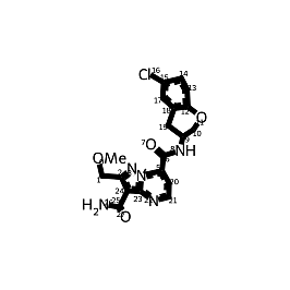 COCc1nn2c(C(=O)NC3COc4ccc(Cl)cc4C3)ccnc2c1C(N)=O